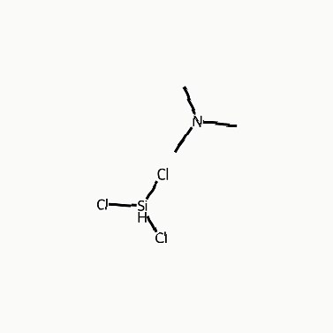 CN(C)C.Cl[SiH](Cl)Cl